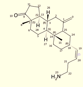 C=C1C[C@@H]2[C@H](CC[C@]3(C)C(=O)CC[C@@H]23)[C@@]2(C)CC[C@@H](/C=C\CCN)CC12